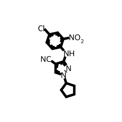 N#Cc1cn(C2CCCC2)nc1Nc1ccc(Cl)cc1[N+](=O)[O-]